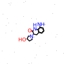 [NH]c1cccc2c1NC(=O)C(N1CC[C@H](O)C1)C2